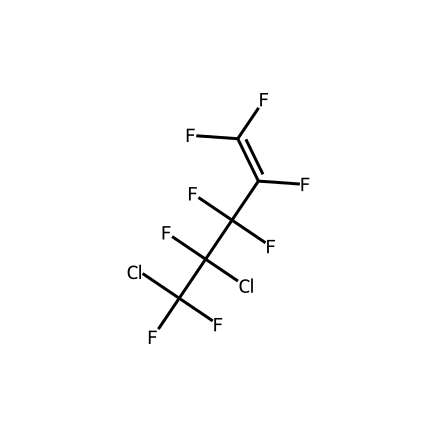 FC(F)=C(F)C(F)(F)C(F)(Cl)C(F)(F)Cl